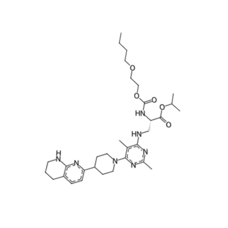 CCCCOCCOC(=O)N[C@@H](CNc1nc(C)nc(N2CCC(c3ccc4c(n3)NCCC4)CC2)c1C)C(=O)OC(C)C